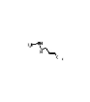 BBBCC=CC